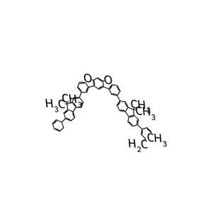 C=C/C=C(\C=C/C)c1ccc2c(c1)C(C)(C)c1cc(-c3ccc4oc5cc6oc7ccc(-c8ccc9c(c8)C(C)(C)c8cc(C%10C=CC=CC%10)ccc8-9)cc7c6cc5c4c3)ccc1-2